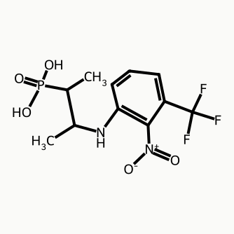 CC(Nc1cccc(C(F)(F)F)c1[N+](=O)[O-])C(C)P(=O)(O)O